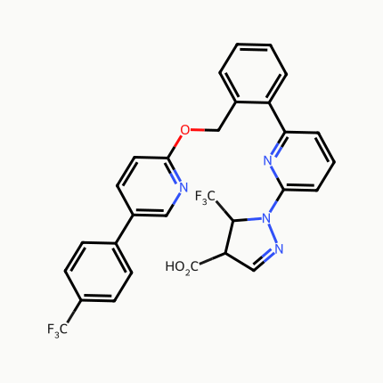 O=C(O)C1C=NN(c2cccc(-c3ccccc3COc3ccc(-c4ccc(C(F)(F)F)cc4)cn3)n2)C1C(F)(F)F